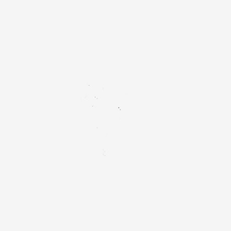 Cc1cc(C2CN(C(=O)c3cccc(C#N)c3)CC(C)(F)C2)n2ncnc2n1